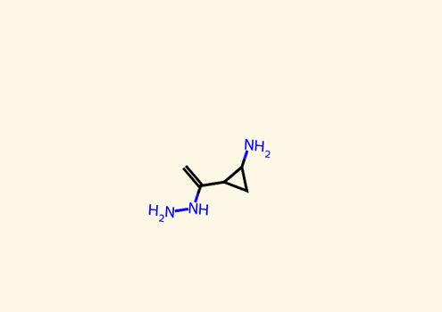 C=C(NN)C1CC1N